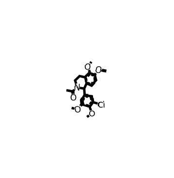 COc1cc(C2c3ccc(OC)c(OC)c3CCN2C(C)=O)cc(Cl)c1OC